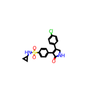 O=C1NCC(c2ccc(Cl)cc2)=C1c1ccc(S(=O)(=O)NC2CC2)cc1